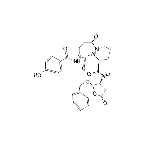 O=C1C[C@H](NC(=O)[C@@H]2CCCN3C(=O)CCN(NC(=O)c4ccc(O)cc4)C(=O)N23)[C@H](OCc2ccccc2)O1